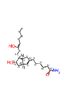 CCCCC=C(O)CC[C@@H]1[C@H]2CC(CCCCCC(N)=O)=C[C@H]2C[C@H]1O